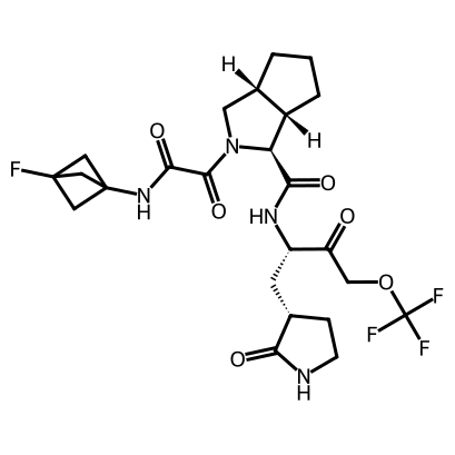 O=C(NC12CC(F)(C1)C2)C(=O)N1C[C@@H]2CCC[C@@H]2[C@H]1C(=O)N[C@@H](C[C@@H]1CCNC1=O)C(=O)COC(F)(F)F